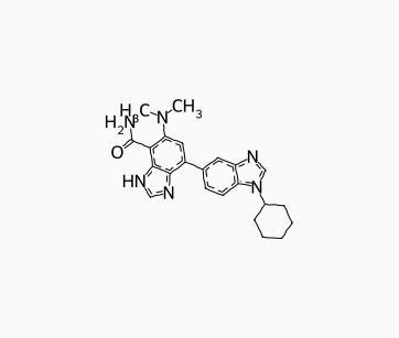 CN(C)c1cc(-c2ccc3c(c2)ncn3C2CCCCC2)c2nc[nH]c2c1C(N)=O